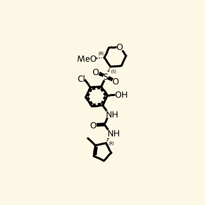 CO[C@@H]1COCC[C@@H]1S(=O)(=O)c1c(Cl)ccc(NC(=O)N[C@@H]2CCC=C2C)c1O